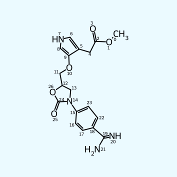 COC(=O)Cc1c[nH]cc1OCC1CN(c2ccc(C(=N)N)cc2)C(=O)O1